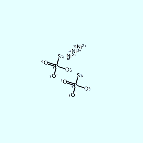 O=P([O-])([O-])[S-].O=P([O-])([O-])[S-].[Ni+2].[Ni+2].[Ni+2]